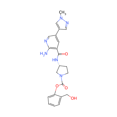 Cn1cc(-c2cnc(N)c(C(=O)N[C@@H]3CCN(C(=O)Oc4ccccc4CO)C3)c2)cn1